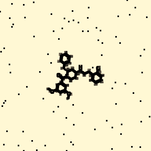 COc1cc(OC)cc(C(=O)N2CC[C@H](NCCc3ccccc3Cl)C[C@H]2Cc2ccccc2)c1